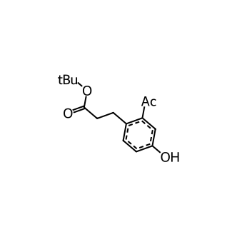 CC(=O)c1cc(O)ccc1CCC(=O)OC(C)(C)C